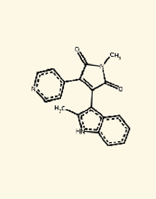 Cc1[nH]c2ccccc2c1C1=C(c2ccncc2)C(=O)N(C)C1=O